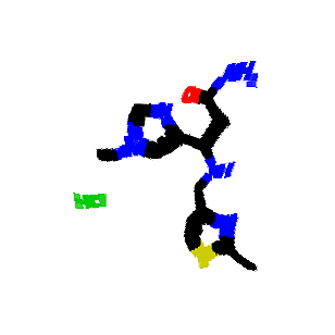 Cc1nc(CNC(CC(N)=O)c2cn(C)cn2)cs1.Cl